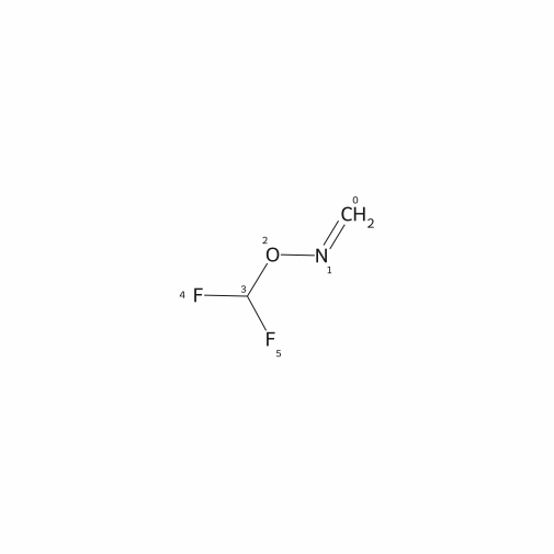 C=NOC(F)F